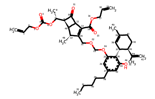 C=CCOC(=O)O[C@H](C)[C@H]1C(=O)C2C(C(=O)OCC=C)=C(COCOc3cc(CCCCC)cc(O)c3[C@@H]3C=C(C)CC[C@H]3C(=C)C)[C@H](C)C21